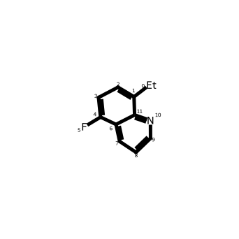 CCc1ccc(F)c2cccnc12